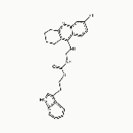 O=C(NCNc1c2c(nc3cc(Cl)ccc13)CCCC2)OCCc1c[nH]c2ccccc12